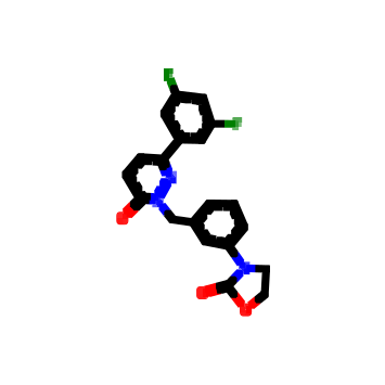 O=C1OCCN1c1cccc(Cn2nc(-c3cc(F)cc(F)c3)ccc2=O)c1